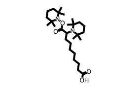 CC1(C)CCCC(C)(C)N1OC(=O)C(CCCCCCCC(=O)O)N1C(C)(C)CCCC1(C)C